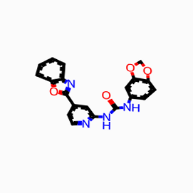 O=C(Nc1ccc2c(c1)OCO2)Nc1cc(-c2nc3ccccc3o2)ccn1